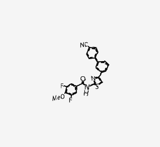 COc1c(F)cc(C(=O)Nc2nc(-c3cccc(-c4ccc(C#N)cc4)c3)cs2)cc1F